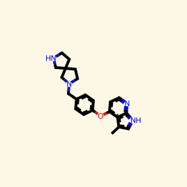 Cc1c[nH]c2nccc(Oc3ccc(CN4CCC5(CCNC5)C4)cc3)c12